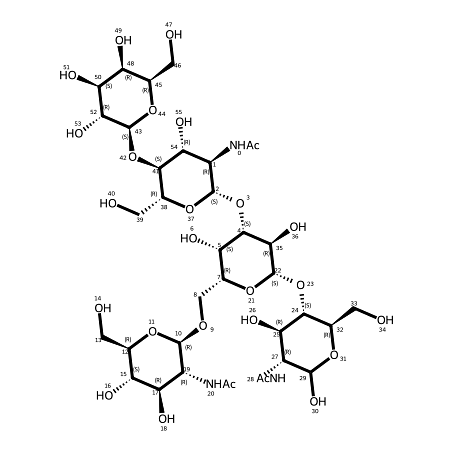 CC(=O)N[C@H]1[C@H](O[C@H]2[C@@H](O)[C@@H](CO[C@@H]3O[C@H](CO)[C@@H](O)[C@H](O)[C@H]3NC(C)=O)O[C@@H](O[C@H]3[C@H](O)[C@@H](NC(C)=O)C(O)O[C@@H]3CO)[C@@H]2O)O[C@H](CO)[C@@H](O[C@@H]2O[C@H](CO)[C@H](O)[C@H](O)[C@H]2O)[C@@H]1O